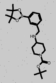 CC(C)(C)OC(=O)N1CCC(NCc2cccc(B3OC(C)(C)C(C)(C)O3)c2)CC1